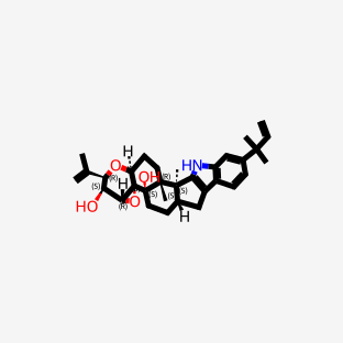 C=CC(C)(C)c1ccc2c3c([nH]c2c1)[C@@]1(C)[C@@H](CC[C@@]2(O)[C@@]45O[C@@H]4[C@@H](O)[C@@H](C(=C)C)O[C@H]5CC[C@@]21C)C3